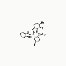 COc1ccc(F)cc1C(c1nc2ccccc2[nH]1)n1cc2ccc(Br)c(F)c2n1